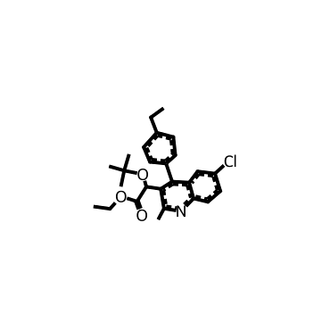 CCOC(=O)C(OC(C)(C)C)c1c(C)nc2ccc(Cl)cc2c1-c1ccc(CC)cc1